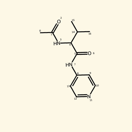 CC(=O)NC(C(=O)Nc1ccncc1)C(C)C